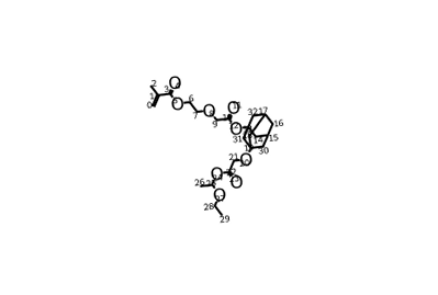 C=C(C)C(=O)OCCOCC(=O)OC12CC3CC(CC(OCC(=O)OC(C)OCC)(C3)C1)C2